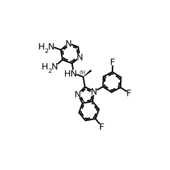 C[C@H](Nc1ncnc(N)c1N)c1nc2ccc(F)cc2n1-c1cc(F)cc(F)c1